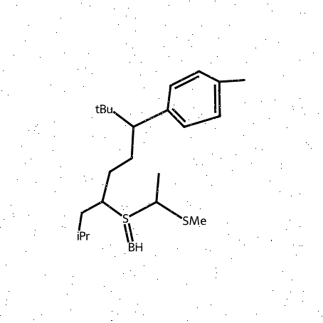 B=S(C(CCC(c1ccc(C)cc1)C(C)(C)C)CC(C)C)C(C)SC